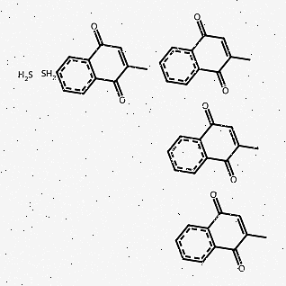 CC1=CC(=O)c2ccccc2C1=O.CC1=CC(=O)c2ccccc2C1=O.CC1=CC(=O)c2ccccc2C1=O.CC1=CC(=O)c2ccccc2C1=O.S.S